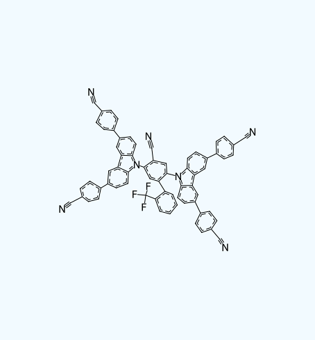 N#Cc1ccc(-c2ccc3c(c2)c2cc(-c4ccc(C#N)cc4)ccc2n3-c2cc(-c3ccccc3C(F)(F)F)c(-n3c4ccc(-c5ccc(C#N)cc5)cc4c4cc(-c5ccc(C#N)cc5)ccc43)cc2C#N)cc1